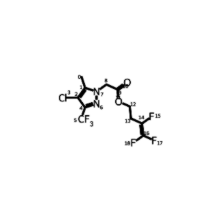 Cc1c(Cl)c(C(F)(F)F)nn1CC(=O)OCCC(F)=C(F)F